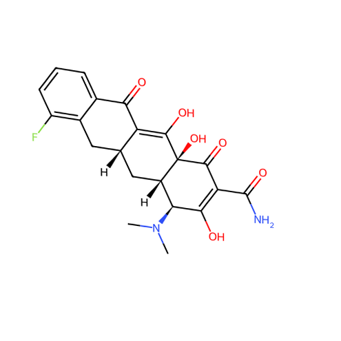 CN(C)[C@@H]1C(O)=C(C(N)=O)C(=O)[C@@]2(O)C(O)=C3C(=O)c4cccc(F)c4C[C@H]3C[C@@H]12